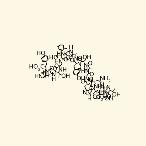 C[C@H](NC(=O)CNC(=O)[C@H](Cc1c[nH]cn1)NC(=O)[C@H](CC(N)=O)NC(=O)[C@H](CC(=O)O)NC(=O)[C@H](CO)NC(=O)[C@@H](N)[C@@H](C)O)C(=O)N[C@H](C(=O)N[C@@H](Cc1ccc(O)cc1)C(=O)N[C@@H](C)C(=O)N[C@@H](Cc1ccccc1)C(=O)N[C@@H](CO)C(=O)NCC(=O)N[C@H](C(=O)N[C@@H](Cc1c[nH]cn1)C(=O)N[C@@H](Cc1ccc(O)cc1)C(=O)O)[C@@H](C)O)[C@@H](C)O